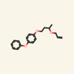 C=CCOC(C)CCOc1ccc(Oc2ccccc2)cc1